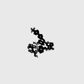 CN1CCC(N(Cc2ccc(-c3ccc(C(F)(F)F)cc3)cc2)C(=O)Cn2c(SCc3ccc(F)cc3)nc(=O)c3c2CCC3)CC1.O=C(O)C(O)C(O)C(=O)O